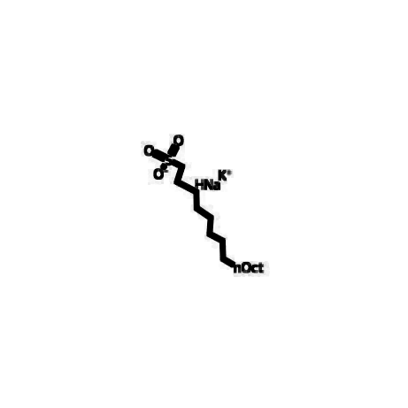 CCCCCCCCCCCCCCCCS(=O)(=O)[O-].[K+].[NaH]